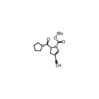 C#CC1=CN(C(=O)OC(C)(C)C)C(C(=O)N2CCCC2)C1